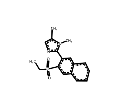 CCS(=O)(=O)c1cc2ccccc2cc1-c1ncc(C)n1C